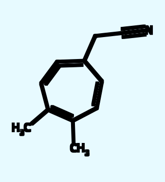 CC1=C(C)C=CC(CC#N)=C=C1